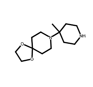 CC1(N2CCC3(CC2)OCCO3)CCNCC1